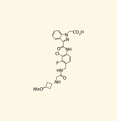 CO[C@H]1C[C@H](NCC(=O)NCc2ccc(NC(=O)c3nn(CC(=O)O)c4ccccc34)c(Cl)c2F)C1